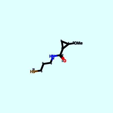 COC1CC1C(=O)NCCCS